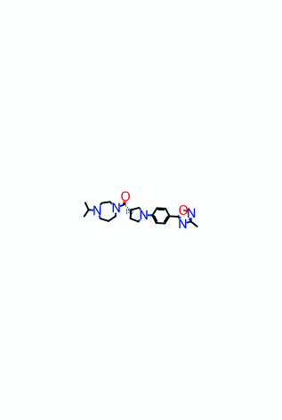 Cc1noc(-c2ccc(N3CC[C@H](C(=O)N4CCCN(C(C)C)CC4)C3)cc2)n1